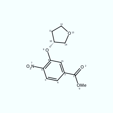 COC(=O)c1ccc([N+](=O)[O-])c(O[C@@H]2CCOC2)c1